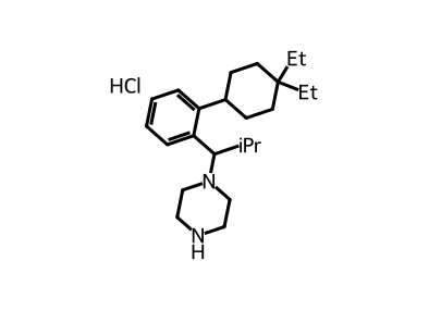 CCC1(CC)CCC(c2ccccc2C(C(C)C)N2CCNCC2)CC1.Cl